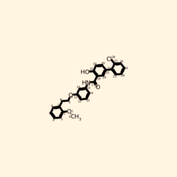 COc1ccccc1CCOc1cccc(NC(=O)c2cc(-c3ccccc3Cl)ccc2O)c1